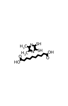 Cc1nc(S)c(S)nc1C.O=C(O)CCCCCCCCC(=O)O